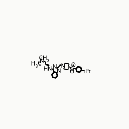 CC(C)c1ccc(S(=O)(=O)N2CCN(Cc3nc(NCCCN(C)C)c4ccccc4n3)CC2)cc1